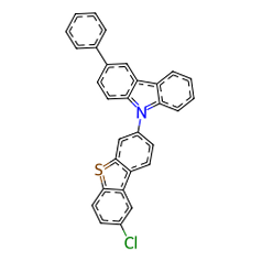 Clc1ccc2sc3cc(-n4c5ccccc5c5cc(-c6ccccc6)ccc54)ccc3c2c1